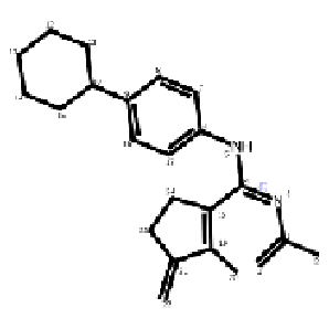 C=C(C)/N=C(/Nc1ccc(C2CCCCC2)cc1)C1=C(C)C(=C)CC1